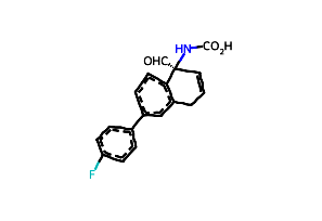 O=C[C@]1(NC(=O)O)C=CCc2cc(-c3ccc(F)cc3)ccc21